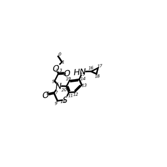 CCOC(=O)CN1C(=O)CSc2ccc(NC3CC3)cc21